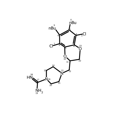 CCCCc1c(Cl)c2c(c(Cl)c1CCCC)OC(CN1CCN(C(=N)N)CC1)CO2